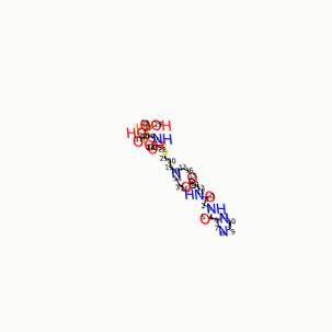 O=C(CNC(=O)c1cnccn1)NCB1OCCN(CCCSC(=O)NC([PH](=O)O)P(=O)(O)O)CCO1